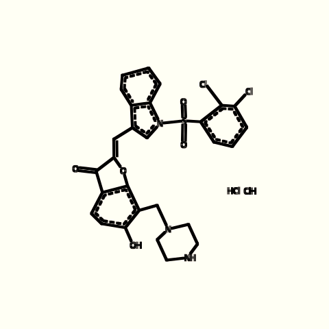 Cl.Cl.O=C1C(=Cc2cn(S(=O)(=O)c3cccc(Cl)c3Cl)c3ccccc23)Oc2c1ccc(O)c2CN1CCNCC1